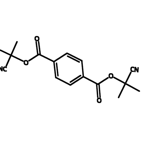 CC(C)(C#N)OC(=O)c1ccc(C(=O)OC(C)(C)C#N)cc1